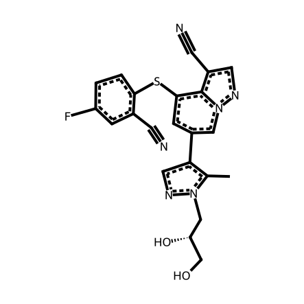 Cc1c(-c2cc(Sc3ccc(F)cc3C#N)c3c(C#N)cnn3c2)cnn1C[C@@H](O)CO